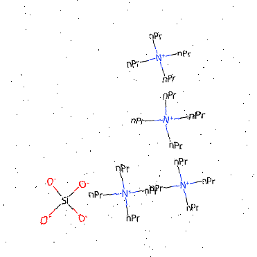 CCC[N+](CCC)(CCC)CCC.CCC[N+](CCC)(CCC)CCC.CCC[N+](CCC)(CCC)CCC.CCC[N+](CCC)(CCC)CCC.[O-][Si]([O-])([O-])[O-]